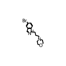 Brc1ccc2c(cnn2CCCN2CCOCC2)c1